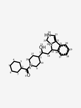 O=C(C1CCCCC1)N1CCC(C(O)CC2c3ccccc3C3=CNCN32)CC1